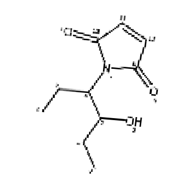 CCC(O)C(CC)N1C(=O)C=CC1=O